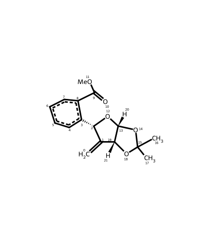 C=C1[C@H](c2ccccc2C(=O)OC)O[C@@H]2OC(C)(C)O[C@H]12